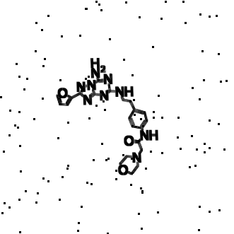 Nc1nc(NCCc2ccc(NC(=O)CN3CCOCC3)cc2)nc2nc(-c3ccco3)nn12